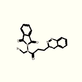 CC(C)CN(C(=O)CCC1Cc2ccccc2N=N1)N1C(=O)c2ccccc2C1=O